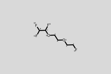 FCCOCCOC(F)C(F)F